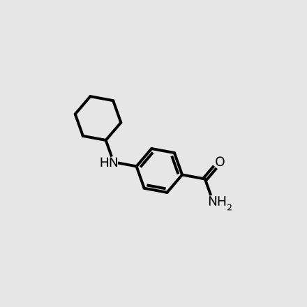 NC(=O)c1ccc(NC2CCCCC2)cc1